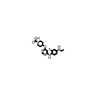 CCNc1ccc(Nc2cc(OC3CCN(C(=O)O)CC3)ncn2)c(F)c1